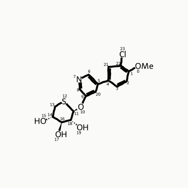 COc1ccc(-c2cncc(O[C@H]3SC[C@@H](O)[C@H](O)[C@H]3O)c2)cc1Cl